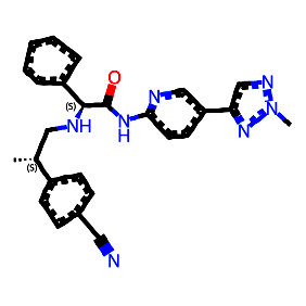 C[C@H](CN[C@H](C(=O)Nc1ccc(-c2cnn(C)n2)cn1)c1ccccc1)c1ccc(C#N)cc1